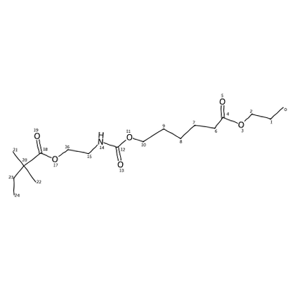 CCCOC(=O)CCCCCOC(=O)NCCOC(=O)C(C)(C)CC